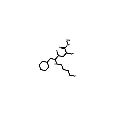 CCCCNC(=O)C(CC(O)C(CC1CCCCC1)NCCCCC(C)C)C(C)C